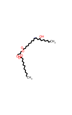 CCCCCCCCCCCC(=O)OC(CO)COC(=O)CCCCCCC/C=C\C[C@H](O)CCCCCC